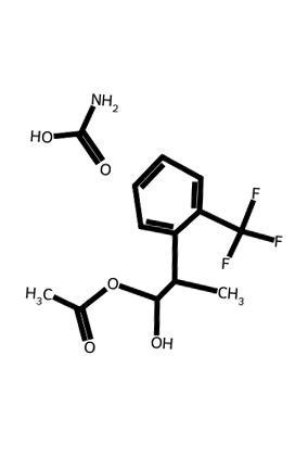 CC(=O)OC(O)C(C)c1ccccc1C(F)(F)F.NC(=O)O